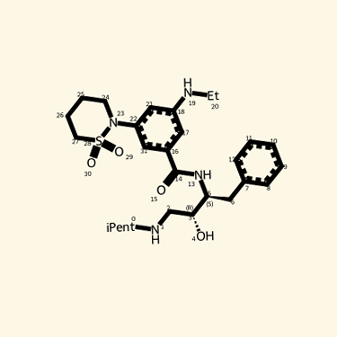 CCCC(C)NC[C@@H](O)[C@H](Cc1ccccc1)NC(=O)c1cc(NCC)cc(N2CCCCS2(=O)=O)c1